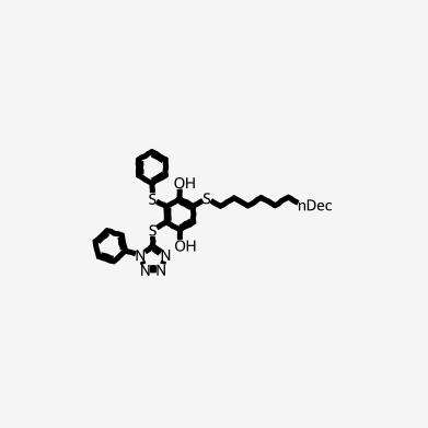 CCCCCCCCCCCCCCCCSc1cc(O)c(Sc2nnnn2-c2ccccc2)c(Sc2ccccc2)c1O